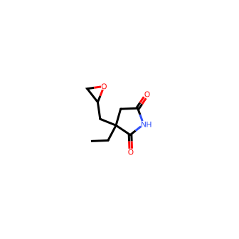 CCC1(CC2CO2)CC(=O)NC1=O